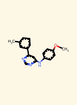 COc1ccc(Nc2cc(-c3cccc(C)c3)ncn2)cc1